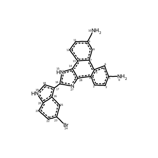 Nc1ccc2c(c1)c1cc(N)ccc1c1[nH]c(-c3c[nH]c4ccc(Br)cc34)nc21